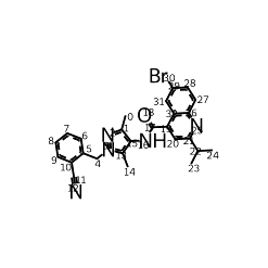 Cc1nn(Cc2ccccc2C#N)c(C)c1NC(=O)c1cc(C(C)C)nc2ccc(Br)cc12